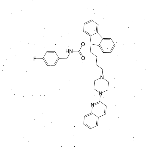 O=C(NCc1ccc(F)cc1)OC1(CCCCN2CCN(c3ccc4ccccc4n3)CC2)c2ccccc2-c2ccccc21